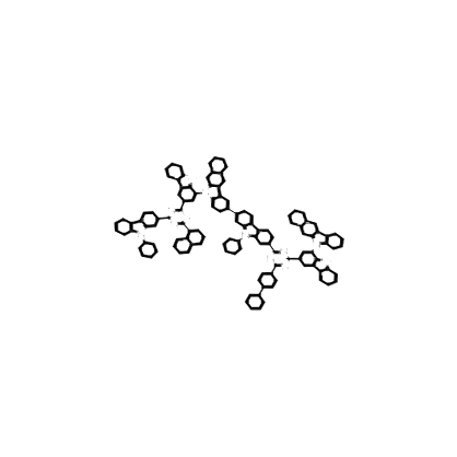 c1ccc(-c2ccc(-c3nc(-c4cc(-n5c6ccccc6c6cc7ccccc7cc65)c5oc6ccccc6c5c4)nc(-c4ccc5c6ccc(-c7ccc8c(c7)c7cc9ccccc9cc7n8-c7cc(-c8nc(-c9ccc%10c%11ccccc%11n(-c%11ccccc%11)c%10c9)nc(-c9cccc%10ccccc9%10)n8)cc8c7oc7ccccc78)cc6n(-c6ccccc6)c5c4)n3)cc2)cc1